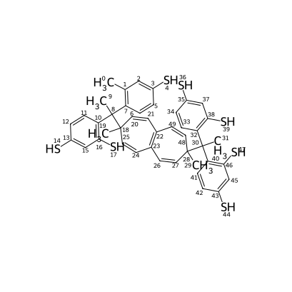 Cc1cc(S)ccc1C(C)(c1ccc(S)cc1S)C1(C)C=CC2=C(C=C1)C=CC(C)(C(C)(c1ccc(S)cc1S)c1ccc(S)cc1S)C=C2